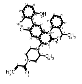 C=CC(=O)N1CCN(c2nc(=O)n(-c3ccccc3C(C)I)c3cc(-c4c(O)cccc4F)c(Cl)cc23)[C@@H](C)C1